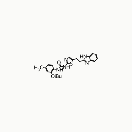 Cc1ccc(NC(=O)Nc2ncc(CCc3nc4ccccc4[nH]3)s2)c(OCC(C)C)c1